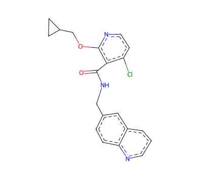 O=C(NCc1ccc2ncccc2c1)c1c(Cl)ccnc1OCC1CC1